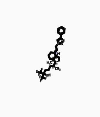 C[C@H](CCCC(O)(C(F)(F)F)C(F)(F)F)[C@H]1CC[C@H]2/C(=C/Cn3cc(-c4ccccc4)nn3)CCC[C@]12C